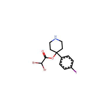 O=C(OC1(c2ccc(I)cc2)CCNCC1)C(Br)Br